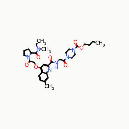 CCCCOC(=O)N1CCN(C(=O)CNC(=O)c2cc(OCC(=O)N3CCCC3C(=O)N(C)CC)c3ccc(C)cc3n2)CC1